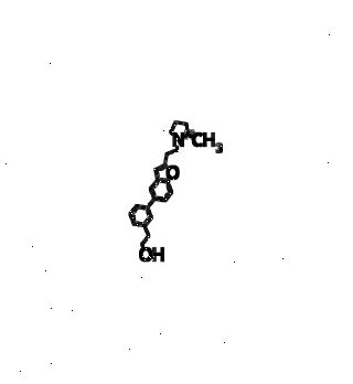 C[C@@H]1CCCN1CCc1cc2cc(-c3cccc(CCO)c3)ccc2o1